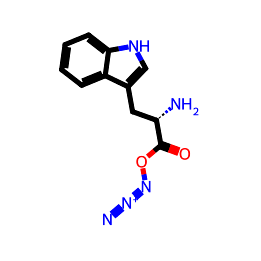 [N-]=[N+]=NOC(=O)[C@@H](N)Cc1c[nH]c2ccccc12